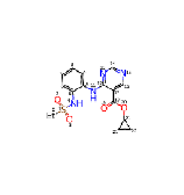 CCS(=O)(=O)Nc1ccccc1Nc1ncncc1C(=O)OC1CC1